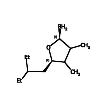 B[C@@H]1O[C@H](CC(CC)CC)C(C)C1C